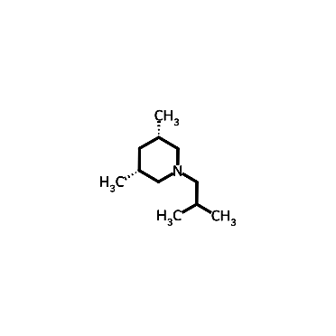 CC(C)CN1C[C@H](C)C[C@H](C)C1